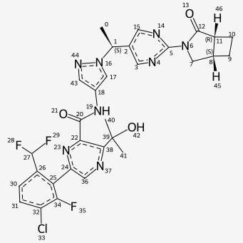 C[C@@H](c1cnc(N2C[C@H]3CC[C@H]3C2=O)nc1)n1cc(NC(=O)c2nc(-c3c(C(F)F)ccc(Cl)c3F)cnc2C(C)(C)O)cn1